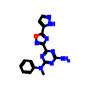 CN(c1ccccc1)c1nc(N)nc(-c2noc(-c3ccn[nH]3)n2)n1